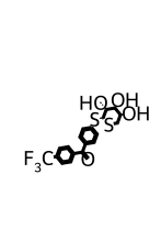 O=C(c1ccc(S[C@H]2SC[C@@H](O)[C@H](O)[C@H]2O)cc1)c1ccc(C(F)(F)F)cc1